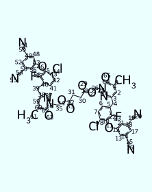 Cc1cc(Cc2ccc(Cl)c(Oc3cc(C#N)cc(C#N)c3)c2F)nn(COC(=O)CCC(=O)OCn2nc(Cc3ccc(Cl)c(Oc4cc(C#N)cc(C#N)c4)c3F)cc(C)c2=O)c1=O